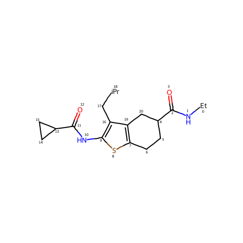 CCNC(=O)C1CCc2sc(NC(=O)C3CC3)c(CC(C)C)c2C1